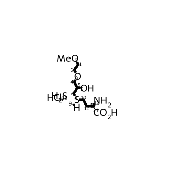 COCCOCC(O)C[SH](C)CC[C@H](N)C(=O)O.Cl.S